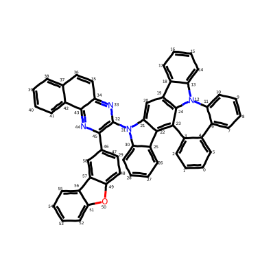 c1ccc2c(c1)-c1ccccc1-n1c3ccccc3c3cc4c(c-2c31)c1ccccc1n4-c1nc2ccc3ccccc3c2nc1-c1ccc2oc3ccccc3c2c1